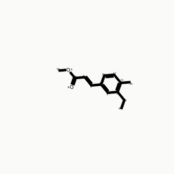 CCc1cc(/C=C/C(=O)OC)ccc1C